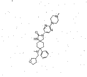 CN1CCN(c2ncc(N3CC4(CCC(c5ccccc5)(N(C)CC5CCOC5)CC4)NC3=O)cn2)CC1